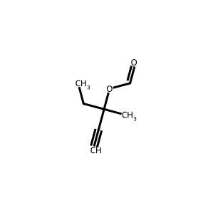 C#CC(C)(CC)OC=O